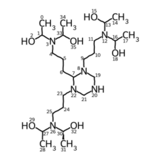 CC(O)N(CCCC1N(CCCN(C(C)O)C(C)O)CNCN1CCCN(C(C)O)[C@H](C)O)C(C)O